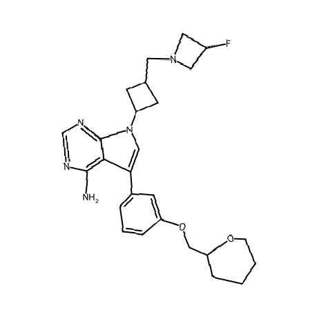 Nc1ncnc2c1c(-c1cccc(OCC3CCCCO3)c1)cn2C1CC(CN2CC(F)C2)C1